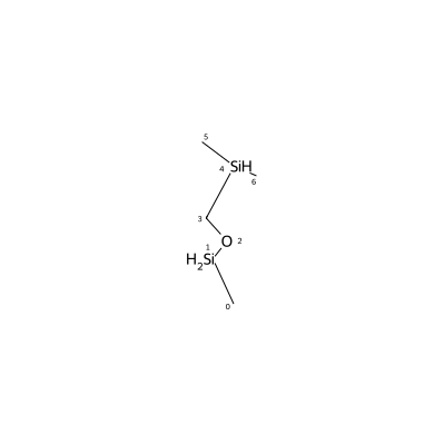 C[SiH2]OC[SiH](C)C